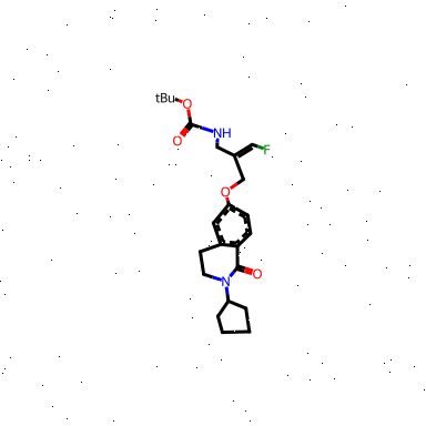 CC(C)(C)OC(=O)NC/C(=C/F)COc1ccc2c(c1)CCN(C1CCCC1)C2=O